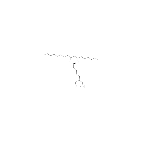 CCCCCCCCC(CCCCCCCC)OC(=O)CCCCC(CO)CO